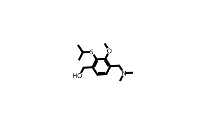 COc1c(CN(C)C)ccc(CO)c1SC(C)C